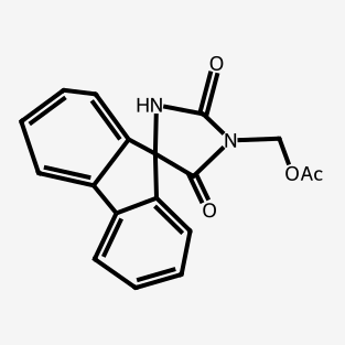 CC(=O)OCN1C(=O)NC2(C1=O)c1ccccc1-c1ccccc12